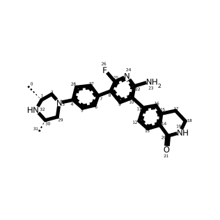 C[C@@H]1CN(c2ccc(-c3cc(-c4ccc5c(c4)CCNC5=O)c(N)nc3F)cc2)C[C@H](C)N1